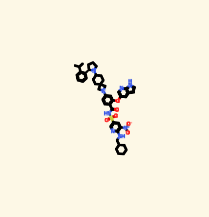 CC(C)c1ccccc1[C@H]1CCCN1C1CCC2(CC1)CN(c1ccc(C(=O)NS(=O)(=O)c3cnc(NCC4CCCCC4)c([N+](=O)[O-])c3)c(Oc3cnc4[nH]ccc4c3)c1)C2